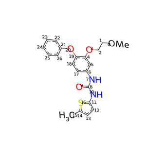 COCCOc1cc(NC(=O)Nc2ccc(C)s2)ccc1Oc1ccccc1